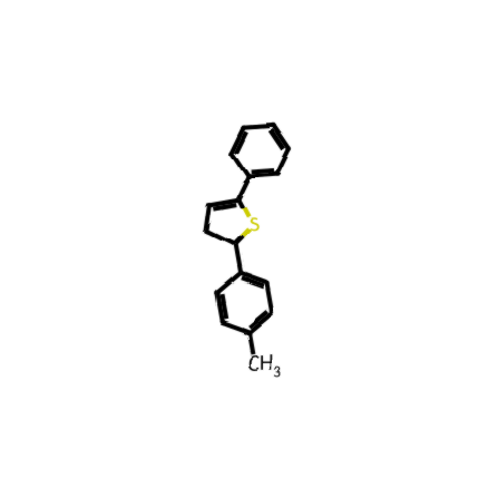 Cc1ccc(C2CC=C(c3ccccc3)S2)cc1